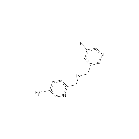 Fc1cncc(CNCc2ccc(C(F)(F)F)cn2)c1